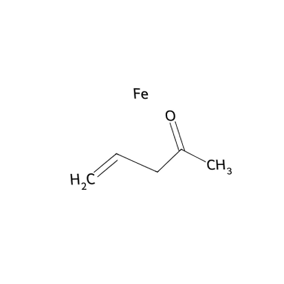 C=CCC(C)=O.[Fe]